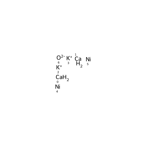 [CaH2].[CaH2].[K+].[K+].[Ni].[Ni].[O-2]